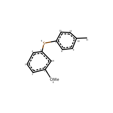 COc1cccc(Sc2ccc(C)cc2)c1